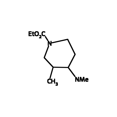 CCOC(=O)N1CCC(NC)C(C)C1